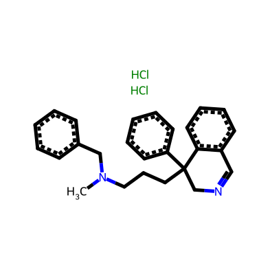 CN(CCCC1(c2ccccc2)CN=Cc2ccccc21)Cc1ccccc1.Cl.Cl